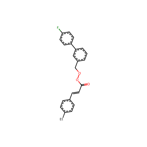 CCc1ccc(C=CC(=O)OOCc2cccc(-c3ccc(F)cc3)c2)cc1